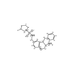 CC1CCCN(S(=O)(=O)NCc2ccc3c(c2)C(Cc2ccccc2)C(N)CO3)C1